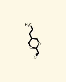 CCCC1COC(C=O)OC1